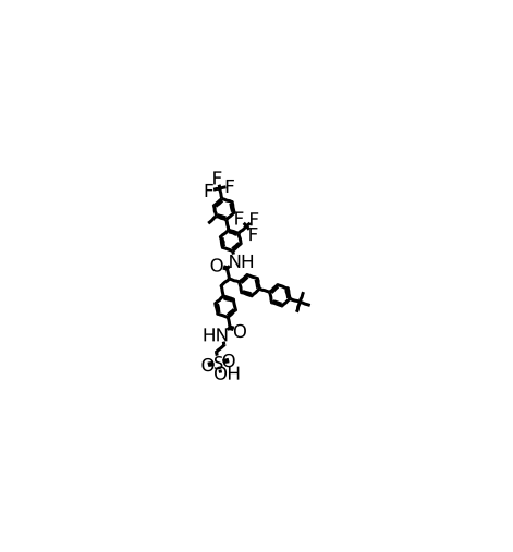 Cc1cc(C(F)(F)F)ccc1-c1ccc(NC(=O)C(Cc2ccc(C(=O)NCCS(=O)(=O)O)cc2)c2ccc(-c3ccc(C(C)(C)C)cc3)cc2)cc1C(F)(F)F